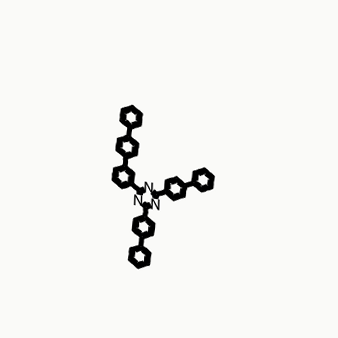 c1ccc(-c2ccc(-c3cccc(-c4nc(-c5ccc(-c6ccccc6)cc5)nc(-c5ccc(-c6ccccc6)cc5)n4)c3)cc2)cc1